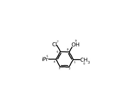 Cc1ccc(C(C)C)c(Cl)c1O